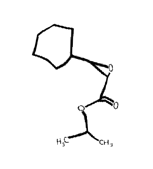 CC(C)OC(=O)C1OC1C1CCCCC1